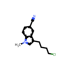 Cn1cc(CCCCCl)c2cc(C#N)ccc21